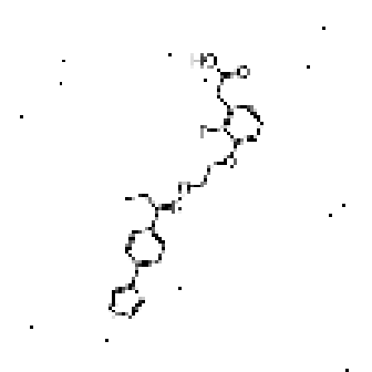 CC/C(=N\OCCOc1cccc(CC(=O)O)c1F)c1ccc(-c2ccsc2)cc1